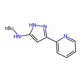 CCCCNc1cc(-c2ccccn2)n[nH]1